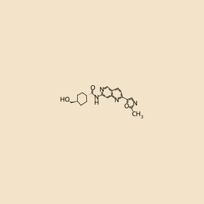 Cc1ncc(-c2ccc3cnc(NC(=O)[C@H]4CC[C@H](CO)CC4)cc3n2)o1